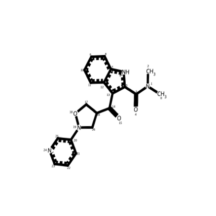 CN(C)C(=O)c1[nH]c2ccccc2c1C(=O)C1CON(c2cccnc2)C1